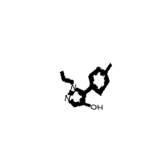 CCCn1ncc(O)c1-c1ccc(C)cc1